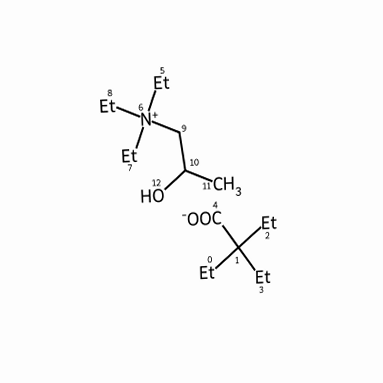 CCC(CC)(CC)C(=O)[O-].CC[N+](CC)(CC)CC(C)O